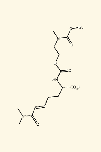 CN(C)C(=O)/C=C/CC[C@H](NC(=O)OCCN(C)C(=O)OC(C)(C)C)C(=O)O